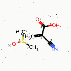 C=C(C#N)C(=O)O.C[S+](C)[O-]